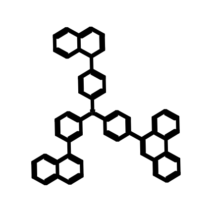 C1=CC2=CC=CC(c3ccc(N(c4ccc(-c5cc6ccccc6c6ccccc56)cc4)c4cccc(-c5cccc6ccccc56)c4)cc3)C2C=C1